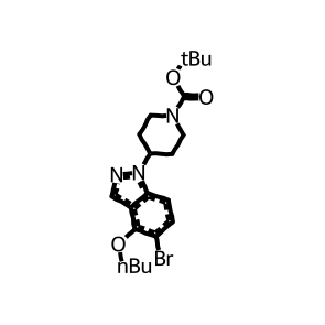 CCCCOc1c(Br)ccc2c1cnn2C1CCN(C(=O)OC(C)(C)C)CC1